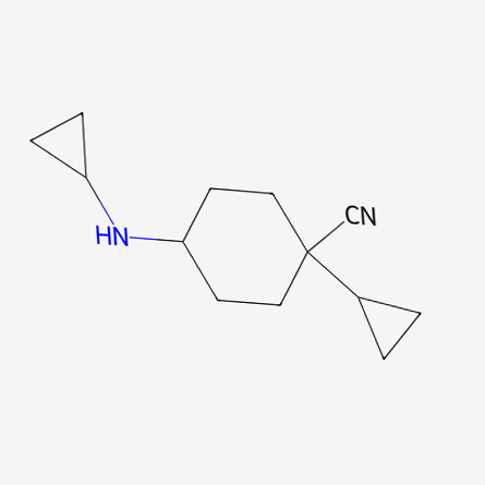 N#CC1(C2CC2)CCC(NC2CC2)CC1